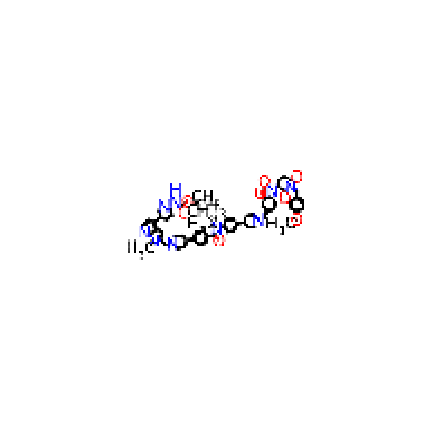 COc1ccc(CN2C(=O)CCC(n3c(=O)oc4cc(CN5CCC(c6ccc(N(C)C(=O)c7ccc(C8CCN(Cc9cc%10c(-c%11ccc(NC(=O)OC(C)(C)C)nc%11)ccnc%10n9C)CC8)cc7)cc6)CC5)ccc43)C2=O)cc1